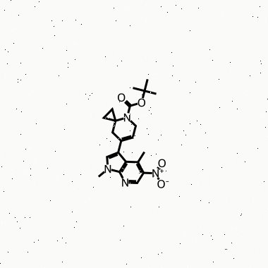 Cc1c([N+](=O)[O-])cnc2c1c(C1=CCN(C(=O)OC(C)(C)C)C3(CC3)C1)cn2C